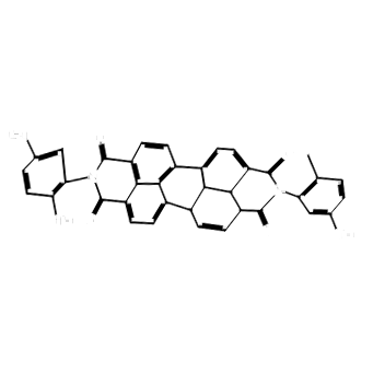 Cc1ccc(C(C)(C)C)cc1N1C(=O)C2=CC=C3c4ccc5c6c(ccc(c46)C4C=CC(C1=O)C2C34)C(=O)N(c1cc(C(C)(C)C)ccc1C(C)(C)C)C5=O